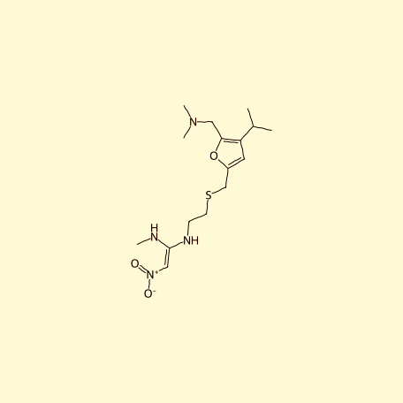 CNC(=C[N+](=O)[O-])NCCSCc1cc(C(C)C)c(CN(C)C)o1